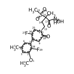 COc1cc(C)cc(-c2cc(=O)n(CCC(C)(C(=O)NO)S(C)(=O)=O)cc2F)c1F